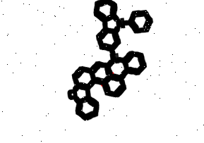 c1ccc(-c2ccccc2N(c2ccc3c(ccc4oc5ccccc5c43)c2)c2ccc3c4ccccc4n(-c4ccccc4)c3c2)cc1